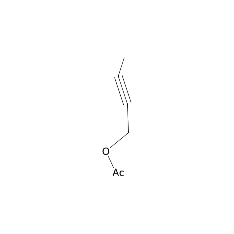 [CH2]C(=O)OCC#CC